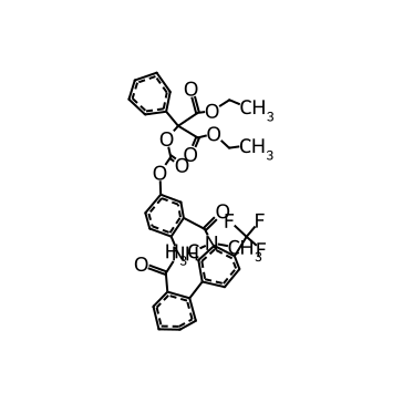 CCOC(=O)C(OC(=O)Oc1ccc(NC(=O)c2ccccc2-c2ccc(C(F)(F)F)cc2)c(C(=O)N(C)C)c1)(C(=O)OCC)c1ccccc1